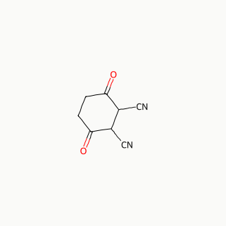 N#CC1C(=O)CCC(=O)C1C#N